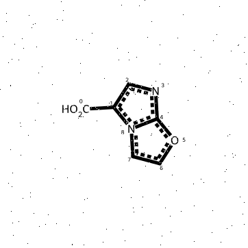 O=C(O)c1cnc2occn12